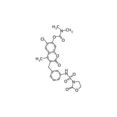 Cc1c(Cc2cccc(NS(=O)(=O)N3CCOC3=O)c2)c(=O)oc2cc(OC(=O)N(C)C)c(Cl)cc12